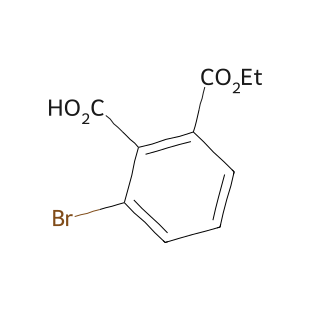 CCOC(=O)c1cccc(Br)c1C(=O)O